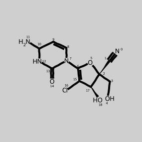 N#C[C@]1(CO)OC(N2C=CC(N)NC2=O)=C(Cl)[C@@H]1O